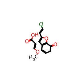 CO/C=C/C(=O)O.O=C1CC=Cc2cc(C=CCl)oc21